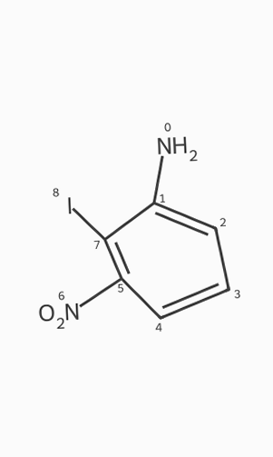 Nc1cccc([N+](=O)[O-])c1I